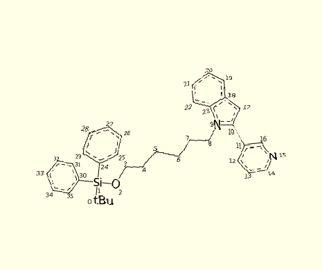 CC(C)(C)[Si](OCCCCCCn1c(-c2cccnc2)cc2ccccc21)(c1ccccc1)c1ccccc1